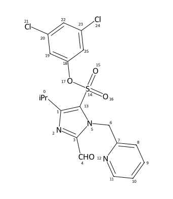 CC(C)c1nc(C=O)n(Cc2ccccn2)c1S(=O)(=O)Oc1cc(Cl)cc(Cl)c1